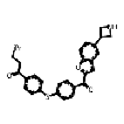 CC(C)CCC(=O)c1ccc(Sc2ccc(C(=O)c3cc4cc(C5CNC5)ccc4o3)cc2)cc1